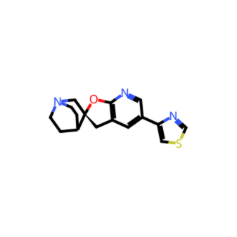 c1nc(-c2cnc3c(c2)C[C@@]2(CN4CCC2CC4)O3)cs1